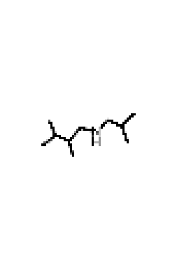 C[C](C)C(C)CNCC(C)C